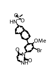 COc1c(Br)cc(-n2c(=O)cc[nH]c2=O)cc1-c1ccc2cc(NS(C)(=O)=O)ccc2c1